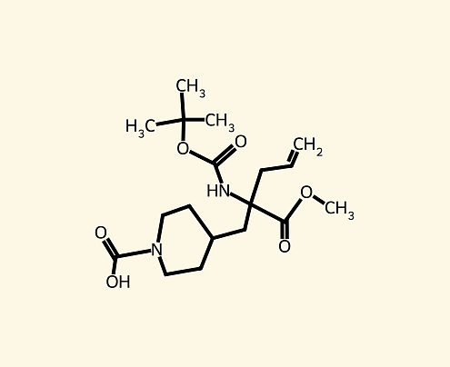 C=CCC(CC1CCN(C(=O)O)CC1)(NC(=O)OC(C)(C)C)C(=O)OC